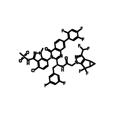 Cn1nc(NS(C)(=O)=O)c2c(Cl)ccc(-n3c([C@H](Cc4cc(F)cc(F)c4)NC(=O)Cn4nc(C(F)F)c5c4C(F)(F)C4CC54)nc4cc(-c5cc(F)c(F)cc5F)ccc4c3=O)c21